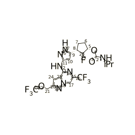 CC(C)NC(=O)O[C@H]1CC[C@@H](c2cc(Nc3nc(C(F)(F)F)cn4nc(COC(F)(F)F)cc34)n[nH]2)[C@@H]1F